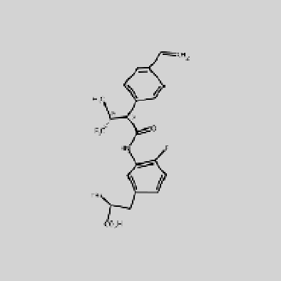 C=Cc1ccc([C@@H](C(=O)Nc2cc(CC(C(=O)O)C(C)(C)C)ccc2F)[C@@H](C)C(F)(F)F)cc1